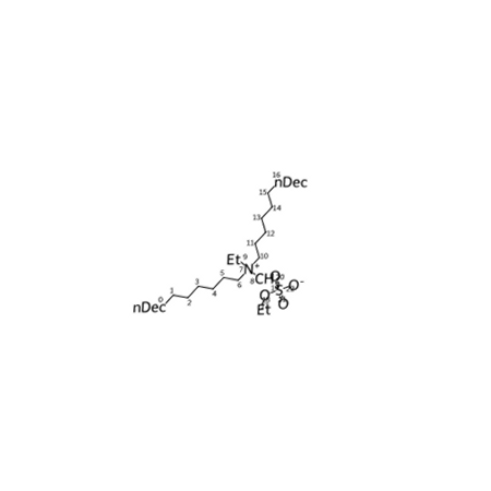 CCCCCCCCCCCCCCCC[N+](C)(CC)CCCCCCCCCCCCCCCC.CCOS(=O)(=O)[O-]